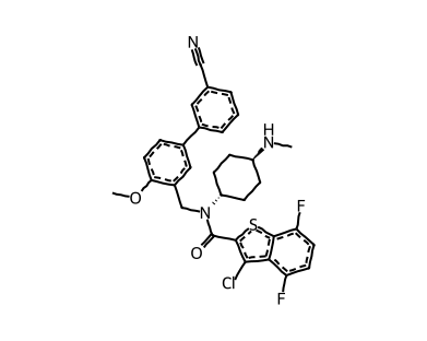 CN[C@H]1CC[C@H](N(Cc2cc(-c3cccc(C#N)c3)ccc2OC)C(=O)c2sc3c(F)ccc(F)c3c2Cl)CC1